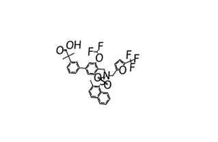 Cc1ccc2ccccc2c1S(=O)(=O)N(Cc1ccc(C(F)(F)F)o1)Cc1ccc(-c2cccc(C(C)(C)C(=O)O)c2)cc1OC(F)F